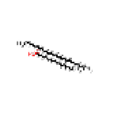 CCCCCCCCCCCCCCCCC(=O)O.CCCCCCCCCCCCCCCCCCCCCCCCCCC